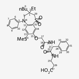 CCCCC1(CC)CN(c2ccccc2)c2cc(SC)c(OCC(=O)N[C@@H](C(=O)NCCC(=O)O)c3ccccc3)cc2S(=O)(=O)C1